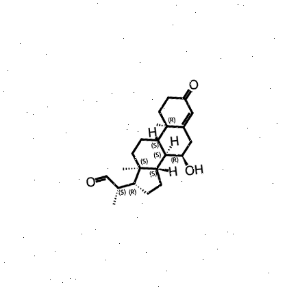 C[C@H](C=O)[C@H]1CC[C@H]2[C@@H]3[C@H](O)CC4=CC(=O)CC[C@]4(C)[C@H]3CC[C@]12C